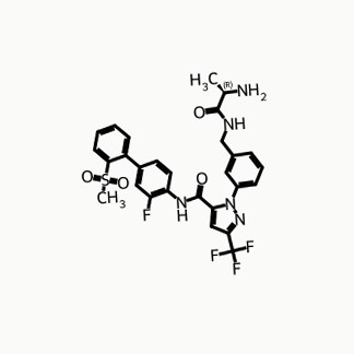 C[C@@H](N)C(=O)NCc1cccc(-n2nc(C(F)(F)F)cc2C(=O)Nc2ccc(-c3ccccc3S(C)(=O)=O)cc2F)c1